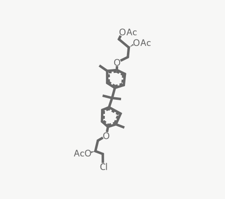 CC(=O)OC[C@@H](COc1ccc(C(C)(C)c2ccc(OC[C@H](CCl)OC(C)=O)c(C)c2)cc1C)OC(C)=O